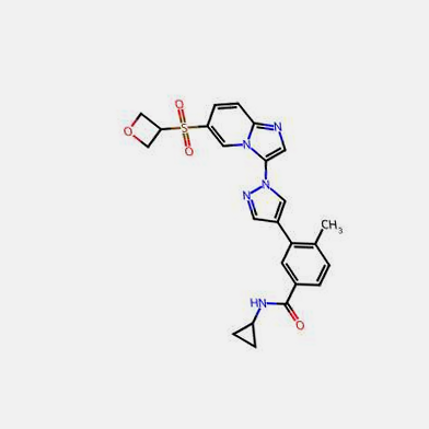 Cc1ccc(C(=O)NC2CC2)cc1-c1cnn(-c2cnc3ccc(S(=O)(=O)C4COC4)cn23)c1